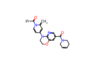 C=C1C=C(N2CCOc3cc(C(=O)N4CC=CCC4)cnc32)C=CN1C(=O)C(C)C